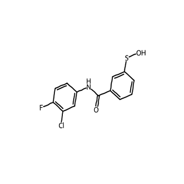 O=C(Nc1ccc(F)c(Cl)c1)c1cccc(SO)c1